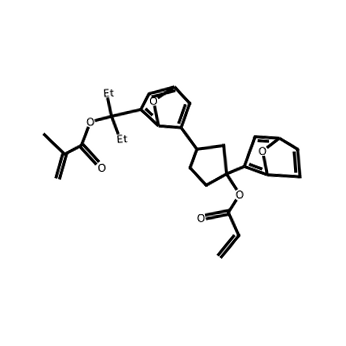 C=CC(=O)OC1(c2cc3ccc2o3)CCC(c2cc3cc(C(CC)(CC)OC(=O)C(=C)C)c2o3)C1